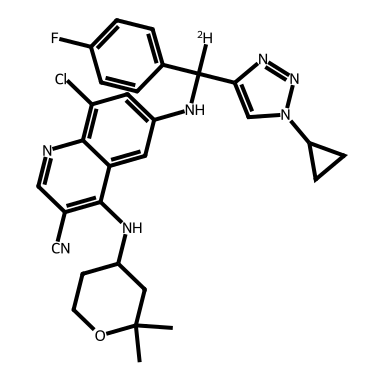 [2H]C(Nc1cc(Cl)c2ncc(C#N)c(NC3CCOC(C)(C)C3)c2c1)(c1ccc(F)cc1)c1cn(C2CC2)nn1